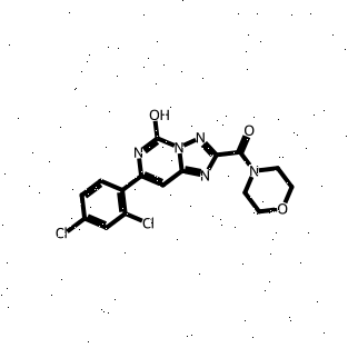 O=C(c1nc2cc(-c3ccc(Cl)cc3Cl)nc(O)n2n1)N1CCOCC1